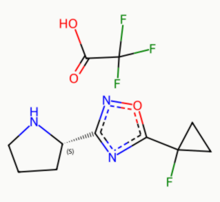 FC1(c2nc([C@@H]3CCCN3)no2)CC1.O=C(O)C(F)(F)F